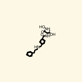 C[C@@H](O)[C@H](NC(=O)c1ccc(CNCCCc2ccccc2)cc1)C(=O)NO